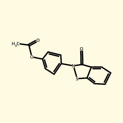 CC(=O)Oc1ccc(-n2sc3ccccc3c2=O)cc1